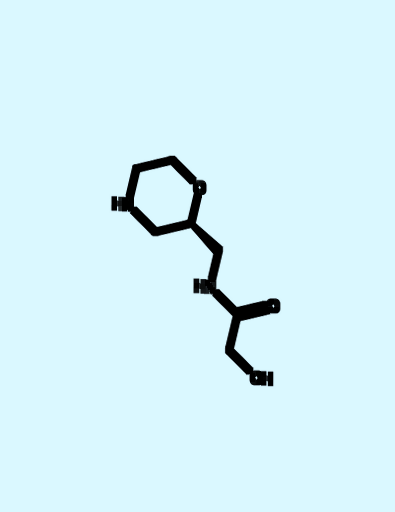 O=C(CO)NC[C@H]1CNCCO1